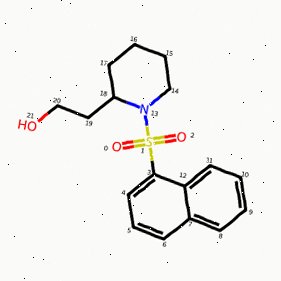 O=S(=O)(c1cccc2ccccc12)N1CCCCC1CCO